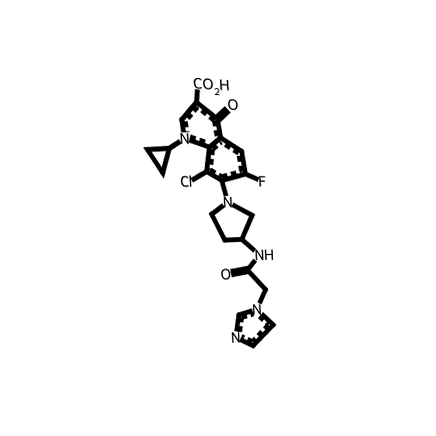 O=C(Cn1ccnc1)NC1CCN(c2c(F)cc3c(=O)c(C(=O)O)cn(C4CC4)c3c2Cl)C1